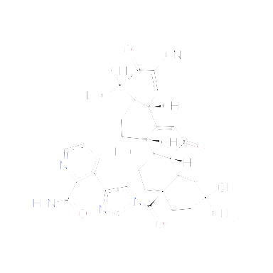 CC1(C)CC[C@]2(C(=O)n3cnc(-c4cccnc4C(N)=O)c3)CC[C@]3(C)[C@H](C(=O)C=C4[C@@]5(C)C=C(C#N)C(=O)C(C)(C)C5CC[C@]43C)C2C1